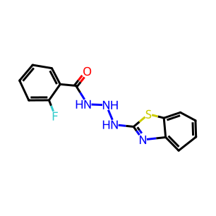 O=C(NNNc1nc2ccccc2s1)c1ccccc1F